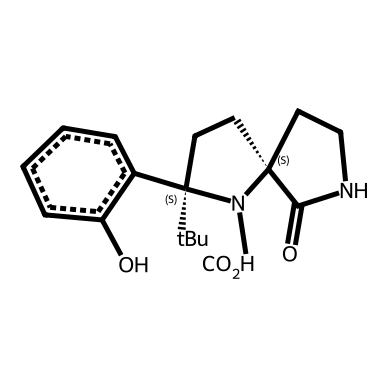 CC(C)(C)[C@]1(c2ccccc2O)CC[C@@]2(CCNC2=O)N1C(=O)O